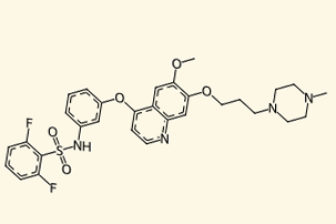 COc1cc2c(Oc3cccc(NS(=O)(=O)c4c(F)cccc4F)c3)ccnc2cc1OCCCN1CCN(C)CC1